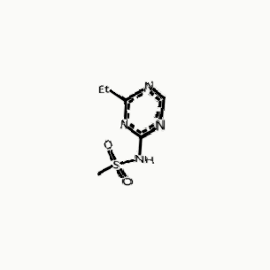 CCc1ncnc(NS(C)(=O)=O)n1